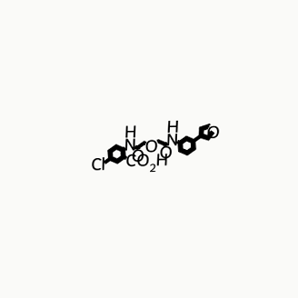 O=C(COCC(=O)Nc1ccc(Cl)cc1C(=O)O)Nc1cccc(-c2ccoc2)c1